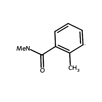 CNC(=O)c1ccc[c]c1C